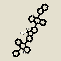 CC1(C)c2cc(C3=c4ccccc4=C(c4ccccc4)C4NC=CC=C34)ccc2-c2ccc(-c3c4ccccc4c(-c4ccc5ccccc5c4)c4ncccc34)cc21